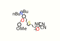 [C-]#[N+]C1=C(/C=C/c2ccc(/C=C/c3ccc(N(CCCC)CCCC)cc3OCc3ccc(OC)cc3)s2)C(C)(C)OC1=C(C#N)C#N